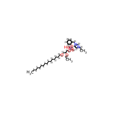 CCCCCCCCCCCCCCCCOCC(COP(=O)(O)Oc1ccccc1CN1[CH]N(CC)C=C1)OCC